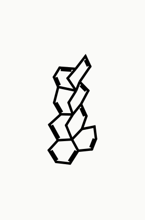 C1=CC2=CC3=CC4=CC=C5C=CC6=CC7=CC8CC=CC(=C1)C28CC37CC46C5